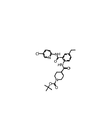 CCc1ccc(NC(=O)C2CCN(C(=O)OC(C)(C)C)CC2)c(C(=O)Nc2ccc(Cl)cn2)c1